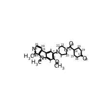 COc1cc2c(cc1N1CCN(C(=O)C3CCC(=O)CC3)CC1)c1ccnc(C)c1n2C